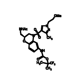 COCCn1cc(S(=O)(=O)N2C[C@H](CNC(C)=O)Oc3ccc(NC(=O)OC(C)(C)C(F)(F)F)cc32)c(C)n1